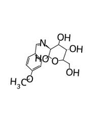 COc1ccc(/C=N\[C@@H]2C(O)OC(CO)[C@@H](O)C2O)cc1